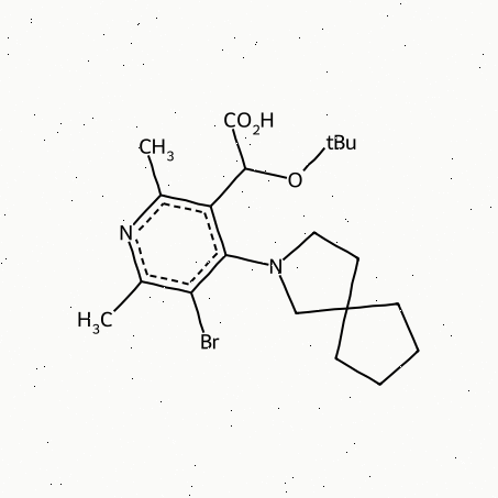 Cc1nc(C)c(C(OC(C)(C)C)C(=O)O)c(N2CCC3(CCCC3)C2)c1Br